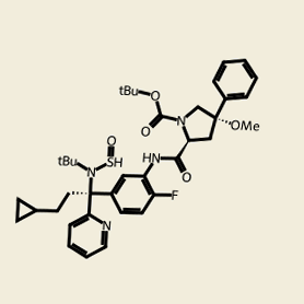 CO[C@]1(c2ccccc2)C[C@@H](C(=O)Nc2cc([C@@](CCC3CC3)(c3ccccn3)N([SH]=O)C(C)(C)C)ccc2F)N(C(=O)OC(C)(C)C)C1